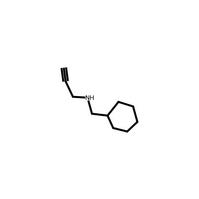 C#CCNCC1CCCCC1